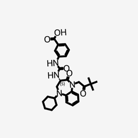 CC(C)(C)C(=O)CN1C(=O)[C@@H](NC(=O)Nc2cccc(C(=O)O)c2)CN(C2CCCCC2)c2ccccc21